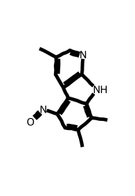 Cc1cnc2[nH]c3c(C)c(C)cc(N=O)c3c2c1